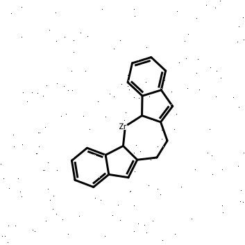 C1=C2CCC3=Cc4ccccc4[CH]3[Zr][CH]2c2ccccc21